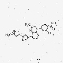 Cc1cc(-c2cc(C(F)(F)F)nc3c(-n4cnc(C5=CN(C)NC5)c4)cccc23)ccc1C(N)=O